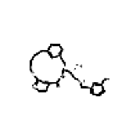 CC(C)c1cccc(CNC[C@@H](O)[C@@H]2Cc3cccc(c3)CCCCCc3cc(ccn3)C(=O)N2)c1